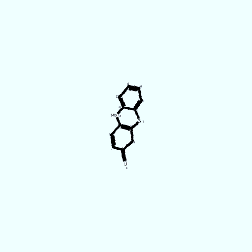 O=C1C=CC2=C(C1)Sc1ccccc1N2